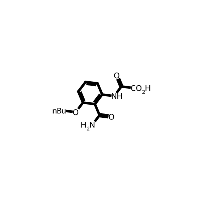 CCCCOc1cccc(NC(=O)C(=O)O)c1C(N)=O